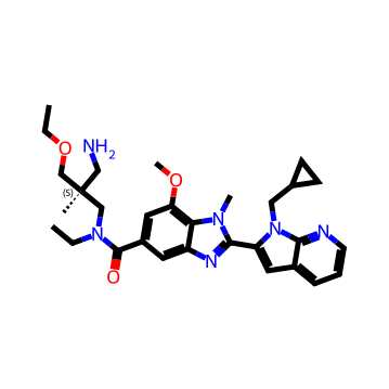 CCOC[C@@](C)(CN)CN(CC)C(=O)c1cc(OC)c2c(c1)nc(-c1cc3cccnc3n1CC1CC1)n2C